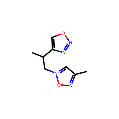 Cc1c[n+](CC(C)c2conn2)on1